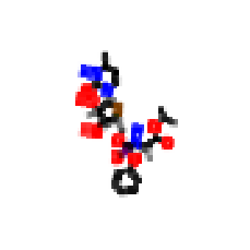 C=C1C=CN([C@@H]2S[C@H](CO[P@@](=O)(N[C@@H](C)C(=O)OC(C)C)Oc3ccccc3)[C@@H](O)[C@@]2(C)O)C(=O)N1